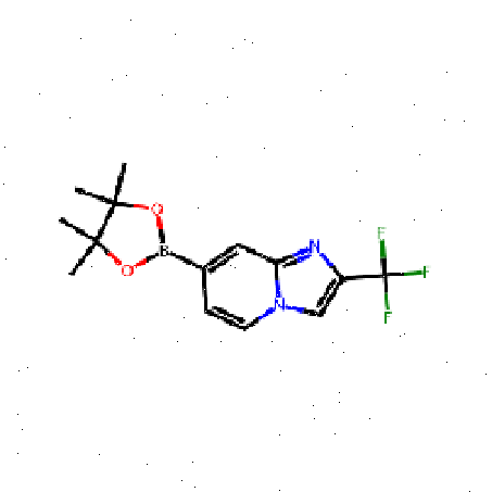 CC1(C)OB(c2ccn3cc(C(F)(F)F)nc3c2)OC1(C)C